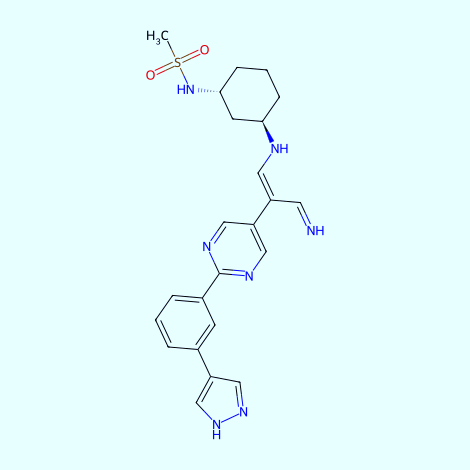 CS(=O)(=O)N[C@@H]1CCC[C@@H](N/C=C(\C=N)c2cnc(-c3cccc(-c4cn[nH]c4)c3)nc2)C1